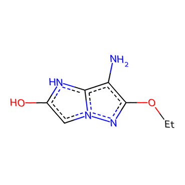 CCOc1nn2cc(O)[nH]c2c1N